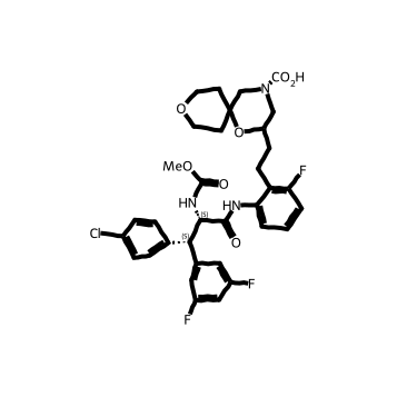 COC(=O)N[C@H](C(=O)Nc1cccc(F)c1CCC1CN(C(=O)O)CC2(CCOCC2)O1)[C@@H](c1ccc(Cl)cc1)c1cc(F)cc(F)c1